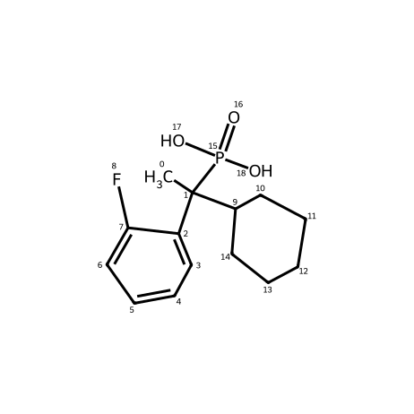 CC(c1ccccc1F)(C1CCCCC1)P(=O)(O)O